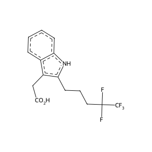 O=C(O)Cc1c(CCCC(F)(F)C(F)(F)F)[nH]c2ccccc12